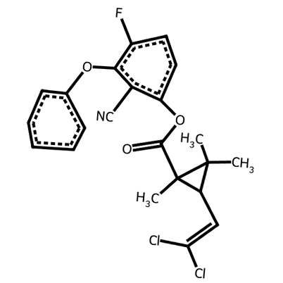 CC1(C)C(C=C(Cl)Cl)C1(C)C(=O)Oc1ccc(F)c(Oc2ccccc2)c1C#N